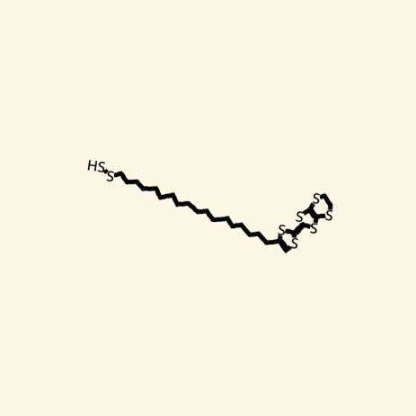 SSCCCCCCCCCCCCCCCCCCC1=CSC(=C2SC3=C(SCCS3)S2)S1